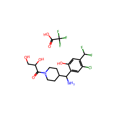 NC(c1cc(Cl)c(C(F)F)cc1O)C1CCN(C(=O)C(O)CO)CC1.O=C(O)C(F)(F)F